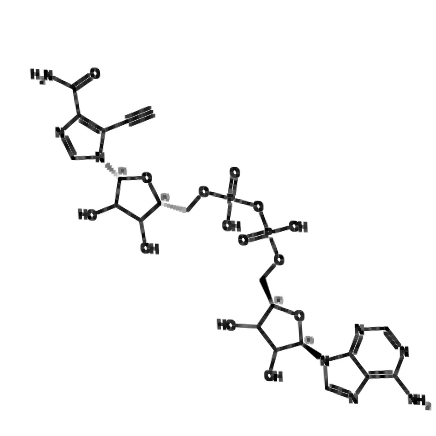 C#Cc1c(C(N)=O)ncn1[C@@H]1O[C@H](COP(=O)(O)OP(=O)(O)OC[C@H]2O[C@@H](n3cnc4c(N)ncnc43)C(O)C2O)C(O)C1O